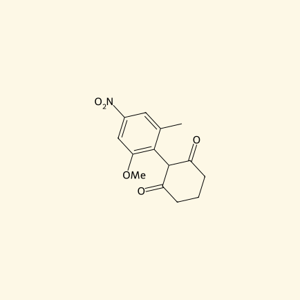 COc1cc([N+](=O)[O-])cc(C)c1C1C(=O)CCCC1=O